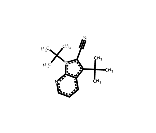 CC(C)(C)c1c(C#N)n(C(C)(C)C)c2ncccc12